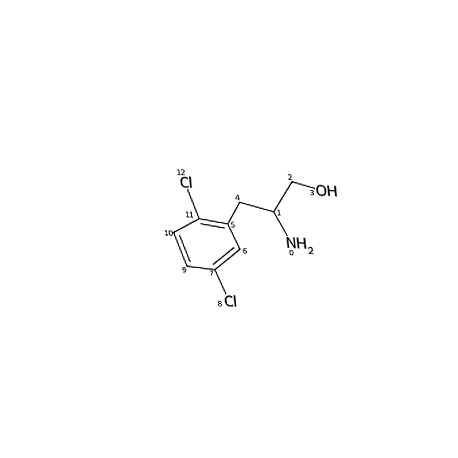 NC(CO)Cc1cc(Cl)ccc1Cl